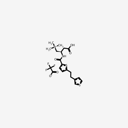 C[N+](C)(C)C[C@@H](CC(=O)O)NC(=O)c1ccc(CCc2ccsc2)s1.O=C([O-])C(F)(F)F